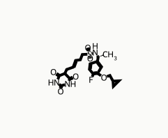 C[C@@H](NS(=O)(=O)CC/C=C/CC1C(=O)NC(=O)NC1=O)c1ccc(F)c(OCC2CC2)c1